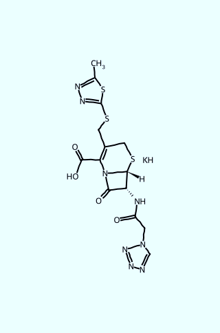 Cc1nnc(SCC2=C(C(=O)O)N3C(=O)[C@@H](NC(=O)Cn4cnnn4)[C@H]3SC2)s1.[KH]